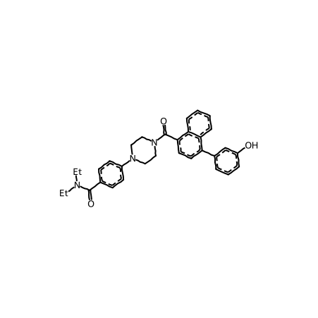 CCN(CC)C(=O)c1ccc(N2CCN(C(=O)c3ccc(-c4cccc(O)c4)c4ccccc34)CC2)cc1